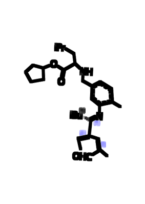 C/C=C(\C=C(\C)C=O)C(=N/c1cc(CNC(CC(C)C)C(=O)OC2CCCC2)ccc1C)/[C@@H](C)CC